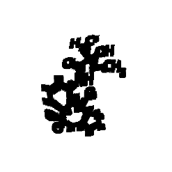 CCC(O)(CC)C(=O)Nc1cccc2c1C(=O)c1sccc1CS2(=O)=O